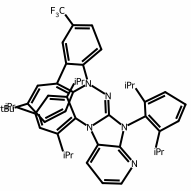 CC(C)c1cc(C(C)C)c(-n2/c(=N\n3c4ccc(C(C)(C)C)cc4c4cc(C(F)(F)F)ccc43)n(-c3c(C(C)C)cccc3C(C)C)c3ncccc32)c(C(C)C)c1